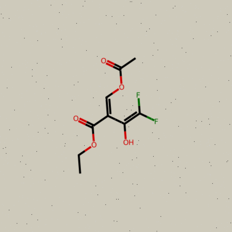 CCOC(=O)C(=COC(C)=O)C(O)=C(F)F